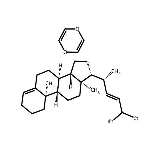 C1=COC=CO1.CCC(C=C[C@@H](C)[C@H]1CC[C@H]2[C@@H]3CCC4=CCCC[C@]4(C)[C@H]3CC[C@]12C)C(C)C